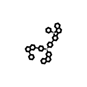 c1ccc(-c2cccc3ccc(-c4ccc(N(c5ccc(-c6ccc7c8ccc9ccccc9c8n(-c8ccccc8)c7c6)cc5)c5ccc6ccc7ccccc7c6c5)cc4)cc23)cc1